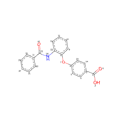 O=C(O)c1ccc(Oc2ccccc2NC(=O)c2ccccc2)cc1